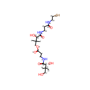 CC(C)(COC(=O)CCNC(=O)[C@H](O)C(C)(C)CO)C(O)C(=O)NCCC(=O)NCCS